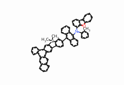 Cc1ccccc1N(c1c2ccccc2c(-c2ccc3c(c2)[Si](C)(C)c2cc4c5ccccc5c5cc6ccccc6cc5c4cc2-3)c2ccccc12)c1cccc2c1oc1ccccc12